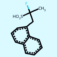 CC(F)(Cc1cccc2ccccc12)S(=O)(=O)O